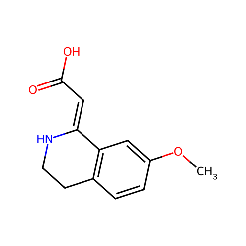 COc1ccc2c(c1)C(=CC(=O)O)NCC2